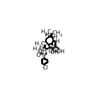 CC1=C[C@]23C(=O)[C@@H](C=C(CO)[C@@H](O)[C@]2(O)[C@@H]1CN(C(=O)O)c1ccc(Cl)cc1)[C@H]1[C@@H](C[C@H]3C)C1(C)C